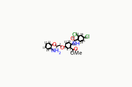 COC(=O)c1cc(OCCOc2ccccc2N)ccc1NC(=O)c1ccc(Cl)cc1Cl